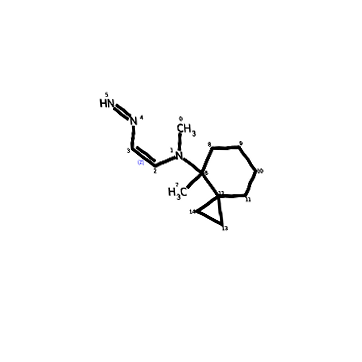 CN(/C=C\N=N)C1(C)CCCCC12CC2